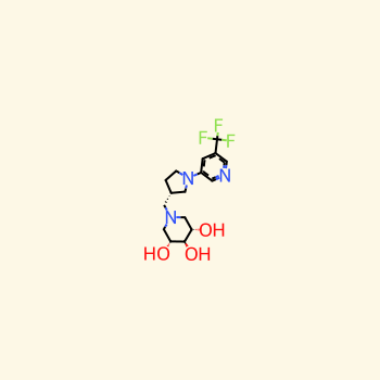 O[C@H]1[C@H](O)CN(C[C@@H]2CCN(c3cncc(C(F)(F)F)c3)C2)C[C@@H]1O